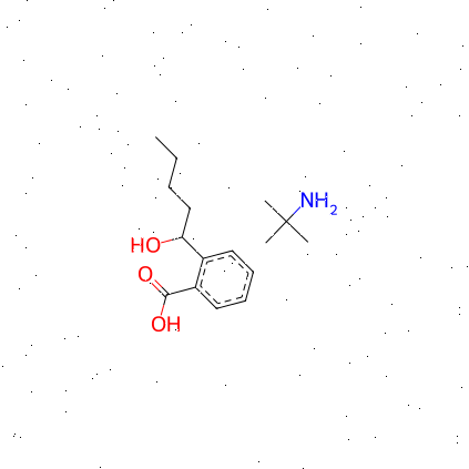 CC(C)(C)N.CCCCC(O)c1ccccc1C(=O)O